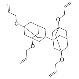 C=CCOC12CC3CC(OCC=C)(C1)CC(C14CC5CC(OCC=C)(CC(OCC=C)(C5)C1)C4)(C3)C2